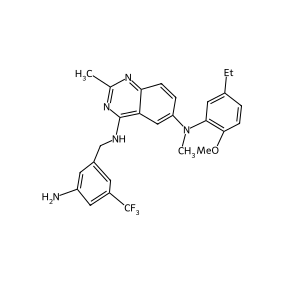 CCc1ccc(OC)c(N(C)c2ccc3nc(C)nc(NCc4cc(N)cc(C(F)(F)F)c4)c3c2)c1